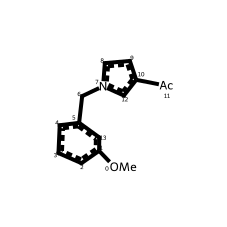 COc1cccc(Cn2ccc(C(C)=O)c2)c1